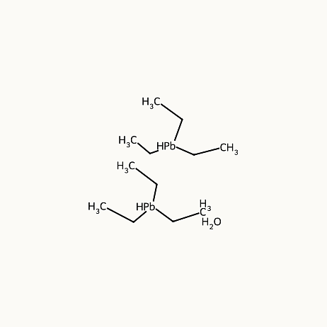 C[CH2][PbH]([CH2]C)[CH2]C.C[CH2][PbH]([CH2]C)[CH2]C.O